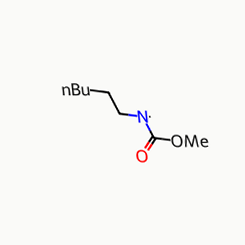 CCCCCC[N]C(=O)OC